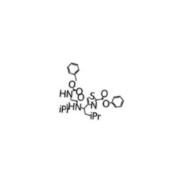 CC(C)CC(NC(=O)[C@H](CC(C)C)NC(=O)OCc1ccccc1)c1csc(C(=O)Oc2ccccc2)n1